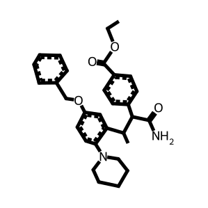 CCOC(=O)c1ccc(C(C(N)=O)C(C)c2cc(OCc3ccccc3)ccc2N2CCCCC2)cc1